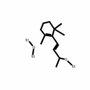 CCOC(C)C=CC1=C(C)CCCC1(C)C.CCOCC